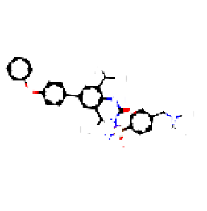 CC(C)c1cc(-c2ccc(Oc3ccccc3)cc2)cc(C(C)C)c1NC(=O)N=S(N)(=O)c1ccc(CN(C)C)cc1